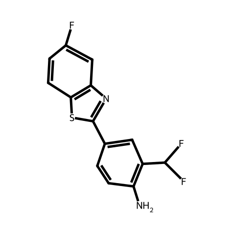 Nc1ccc(-c2nc3cc(F)ccc3s2)cc1C(F)F